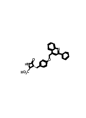 O=C(O)[C@H]1NC(=O)[C@@H]1Cc1ccc(OCc2cc(-c3ccccc3)nc3ccccc23)cc1